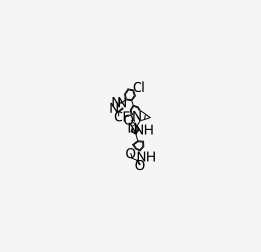 O=C1COc2cc(-c3cnc(C4C5CC5c5cc(-c6cc(Cl)ccc6-n6cc(C(F)(F)F)nn6)cc(=O)n54)[nH]3)ccc2N1